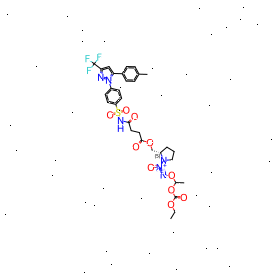 CCOC(=O)OC(C)O/N=[N+](/[O-])N1CCC[C@H]1COC(=O)CCC(=O)NS(=O)(=O)c1ccc(-n2nc(C(F)(F)F)cc2-c2ccc(C)cc2)cc1